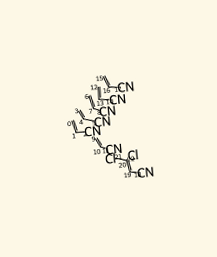 C=CC#N.C=CC#N.C=CC#N.C=CC#N.C=CC#N.C=CC#N.N#CC=C(Cl)Cl